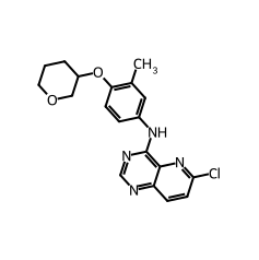 Cc1cc(Nc2ncnc3ccc(Cl)nc23)ccc1OC1CCCOC1